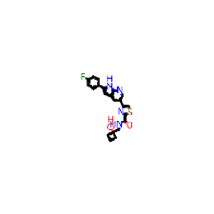 O=C(NCC1(O)CCC1)c1nc(-c2cnc3[nH]c(-c4ccc(F)cc4)cc3c2)cs1